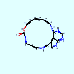 O=c1ncccncc2c3c(ncnc3ncccccco1)N=C2